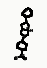 O=[N+]([O-])c1ccc(N2CC3CN(c4ccccn4)C[C@H]3C2)cc1